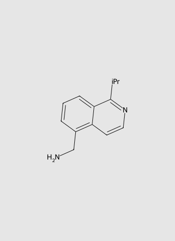 CC(C)c1nccc2c(CN)cccc12